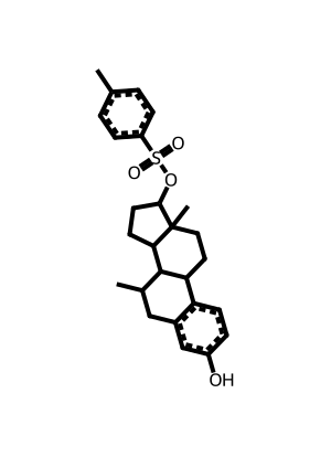 Cc1ccc(S(=O)(=O)OC2CCC3C4C(C)Cc5cc(O)ccc5C4CCC23C)cc1